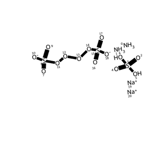 N.N.O=S(=O)(O)O.O=S(=O)([O-])OOOOS(=O)(=O)[O-].[Na+].[Na+]